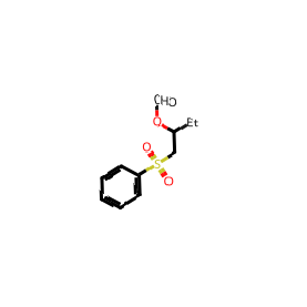 CCC(CS(=O)(=O)c1ccccc1)OC=O